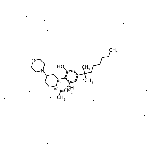 C=C(C)[C@@H]1CCC(N2CCOCC2)C[C@H]1c1c(O)cc(C(C)(C)CCCCCC)cc1O